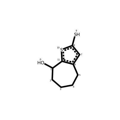 OC1CCCCc2cc(S)sc21